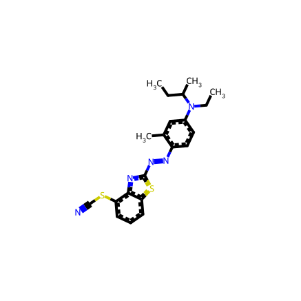 CCC(C)N(CC)c1ccc(N=Nc2nc3c(SC#N)cccc3s2)c(C)c1